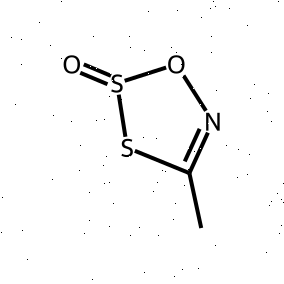 CC1=NOS(=O)S1